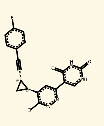 O=c1[nH]cc(-c2cc([C@H]3C[C@@H]3C#Cc3ccc(F)cc3)c(Cl)nn2)c(=O)[nH]1